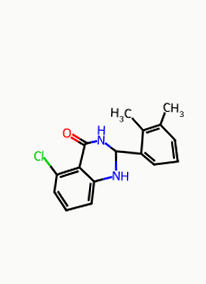 Cc1cccc(C2NC(=O)c3c(Cl)cccc3N2)c1C